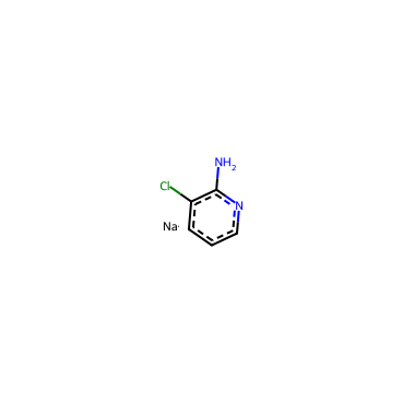 Nc1ncccc1Cl.[Na]